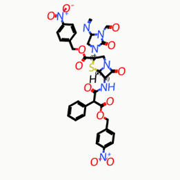 C=NC1CN([C@]2(C(=O)OCc3ccc([N+](=O)[O-])cc3)CN3C(=O)[C@@H](NC(=O)C(C(=O)OCc4ccc([N+](=O)[O-])cc4)c4ccccc4)[C@H]3S2)C(=O)N1C=O